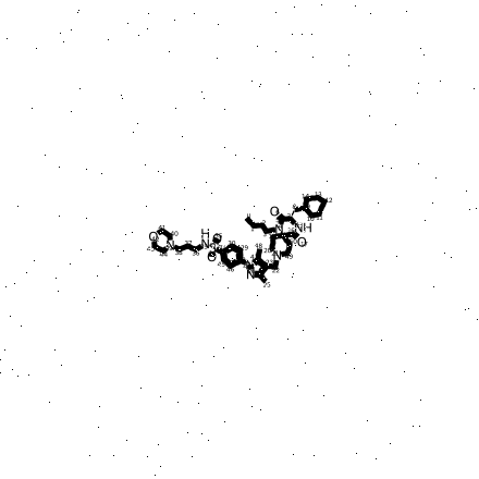 CCCCN1C(=O)[C@H](CC2CCCCC2)NC(=O)C12CCN(Cc1c(C)nn(-c3ccc(S(=O)(=O)NCCCN4CCOCC4)cc3)c1C)CC2